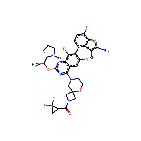 C[C@H](Oc1nc(N2CCOC3(CN(C(=O)C4CC4(F)F)C3)C2)c2cc(Cl)c(-c3ccc(F)c4sc(N)c(C#N)c34)c(F)c2n1)[C@@H]1CCCN1C